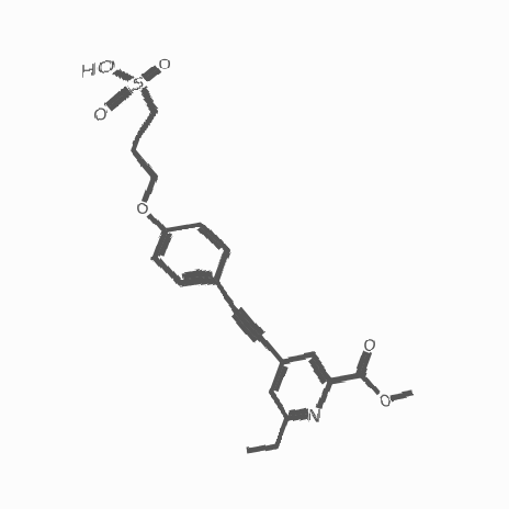 CCc1cc(C#Cc2ccc(OCCCS(=O)(=O)O)cc2)cc(C(=O)OC)n1